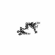 Cc1ncsc1-c1ccc(CNC(=O)[C@@H]2C[C@@H](O)CN2C(=O)[C@@H](NC(=O)CCC(=O)N2CCN(CCCC#Cc3cccc(Cn4c(-c5ccccc5)c(-c5ccccc5)c5c(=N)n(C6CCC(O)CC6)cnc54)c3)CC2)C(C)(C)C)cc1